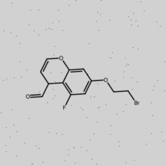 O=CC1C=COc2cc(OCCBr)cc(F)c21